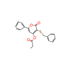 CCC(=O)Oc1cc(-c2ccccc2)oc(=O)c1SCc1ccccc1